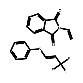 C=CN1C(=O)c2ccccc2C1=O.FC(F)(F)C=CSc1ccccc1